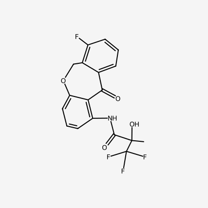 CC(O)(C(=O)Nc1cccc2c1C(=O)c1cccc(F)c1CO2)C(F)(F)F